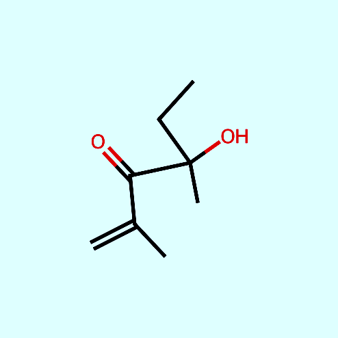 C=C(C)C(=O)C(C)(O)CC